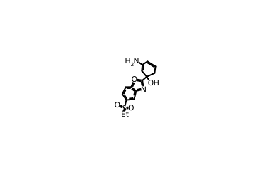 CCS(=O)(=O)c1ccc2oc(C3(O)C=C(N)C=CC3)nc2c1